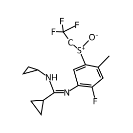 Cc1cc(F)c(/N=C(\NC2CC2)C2CC2)cc1[S+]([O-])CC(F)(F)F